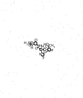 Cn1cc(C(=O)Nc2cc(Cl)cc(NS(C)(=O)=O)c2)cc1-c1ncc(F)cc1OCc1cc(F)cc(C(C)(C)O)c1